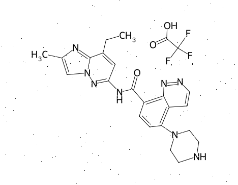 CCc1cc(NC(=O)c2ccc(N3CCNCC3)c3ccnnc23)nn2cc(C)nc12.O=C(O)C(F)(F)F